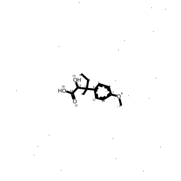 CCC(C)(c1ccc(OC)cc1)C(O)C(=O)O